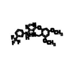 COc1cc(OC)c2c(c1)Oc1ncnc(Nc3cccc(C(F)(F)F)c3)c1NC2